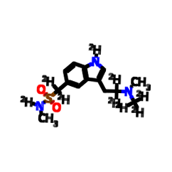 [2H]N(C)S(=O)(=O)C([2H])([2H])c1ccc2c(c1)c(CC([2H])([2H])N(C)C([2H])([2H])[2H])cn2[2H]